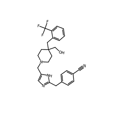 N#Cc1ccc(Cc2ncc(CN3CCC(CO)(Cc4ccccc4C(F)(F)F)CC3)[nH]2)cc1